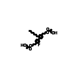 C=C(CO)C(=O)OCCCc1ccc(-c2ccc(CCCOC(=O)C(=C)CO)c(F)c2)c(CCCCCCC)c1